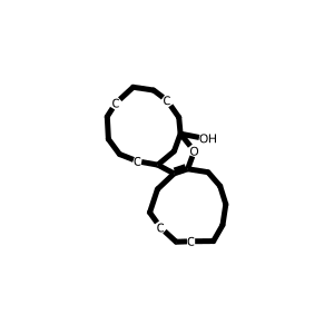 OC12CCCCCCCCCC(C1)C1=C(CCCCCCCCCC1)O2